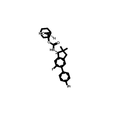 CC(C)c1ccc(-c2cc3c(cc2F)[C@H](NC(=O)O[C@H]2CN4CCC2CC4)C(C)(C)C3)cc1